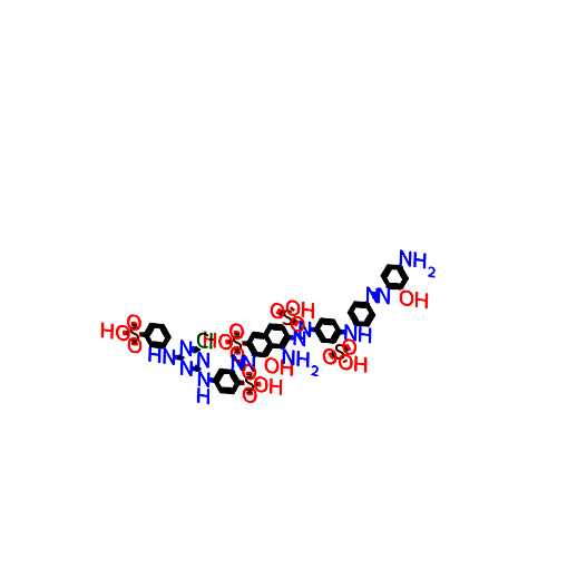 Nc1ccc(/N=N/c2ccc(Nc3ccc(/N=N/c4c(S(=O)(=O)O)cc5cc(S(=O)(=O)O)c(/N=N/c6cc(Nc7nc(Cl)nc(Nc8cccc(S(=O)(=O)O)c8)n7)ccc6S(=O)(=O)O)c(O)c5c4N)cc3S(=O)(=O)O)cc2)c(O)c1